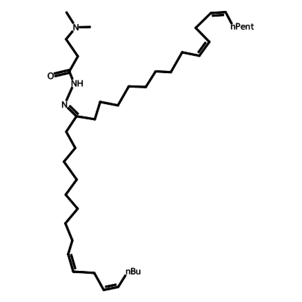 CCCC/C=C\C/C=C\CCCCCCCC/C(CCCCCCCC/C=C\C/C=C\CCCCC)=N/NC(=O)CCN(C)C